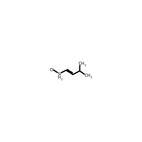 CC(C)C=C[SiH2]Cl